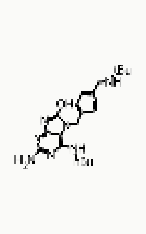 CCCCNc1nc(N)nc2nc(O)n(Cc3ccc(CNC(C)(C)C)cc3)c12